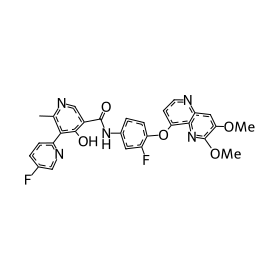 COc1cc2nccc(Oc3ccc(NC(=O)c4cnc(C)c(-c5ccc(F)cn5)c4O)cc3F)c2nc1OC